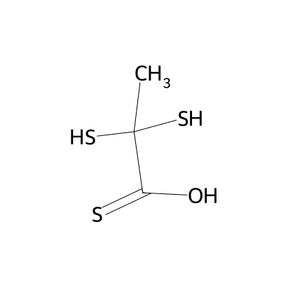 CC(S)(S)C(O)=S